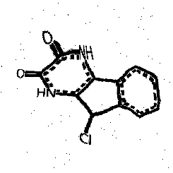 O=c1[nH]c2c([nH]c1=O)C(Cl)c1ccccc1-2